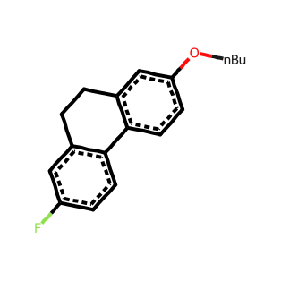 CCCCOc1ccc2c(c1)CCc1cc(F)ccc1-2